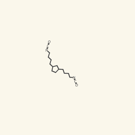 O=C=NCCCCC1CCC(CCCCN=C=O)C1